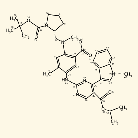 Cc1cc(N(C)C[C@H]2CCCN2C(=O)OC(C)(C)C)c([N+](=O)[O-])cc1Nc1ncc(C(=O)OC(C)C)c(-c2cn(C)c3ccccc23)n1